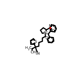 CC(C)C(C#N)(CCCCC(=O)[N@@+]1(C(c2ccccc2)c2ccccc2)CCCC1C(N)=O)c1cccs1